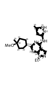 CCn1ncc2c(Nc3cc(C)[nH]n3)nc([C@H]3CC[C@](C)(OC)CC3)nc21